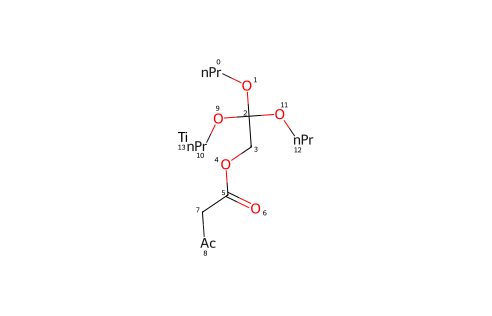 CCCOC(COC(=O)CC(C)=O)(OCCC)OCCC.[Ti]